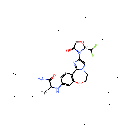 CC(Nc1ccc2c(c1)OCCn1cc(N3C(=O)CO[C@H]3C(F)F)nc1-2)C(N)=O